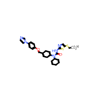 O=C(O)CSc1cnc(NC(=O)N(C2CCCCC2)C2CCC(COc3ccc(-n4ccnc4)cc3)CC2)s1